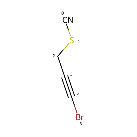 N#CSCC#CBr